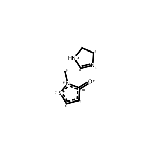 C1=NCCN1.Cn1sccc1=O